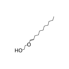 CCCCCCCCCC=COCCO